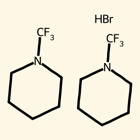 Br.FC(F)(F)N1CCCCC1.FC(F)(F)N1CCCCC1